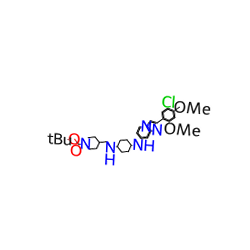 COc1cc(OC)c(-c2cn3ccc(N[C@H]4CC[C@@H](NCC5CCN(C(=O)OC(C)(C)C)CC5)CC4)cc3n2)cc1Cl